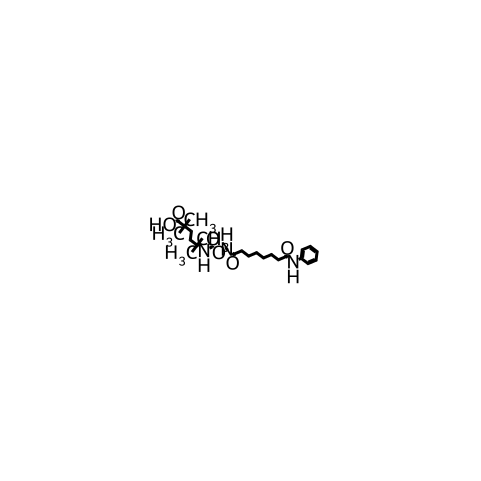 CC(C)(CCC(C)(C)C(=O)O)NC(=O)ONC(=O)CCCCCCC(=O)Nc1ccccc1